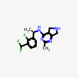 Cc1nc2c(c(N[C@H](C)c3cccc(C(F)F)c3F)n1)CNC2